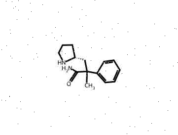 CC(C[C@H]1CCCN1)(C(N)=O)c1ccccc1